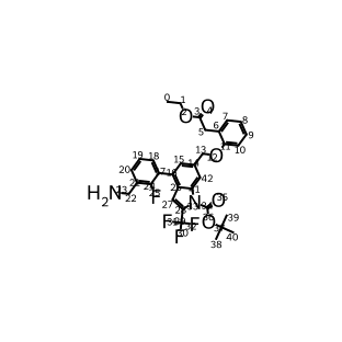 CCOC(=O)Cc1ccccc1OCc1cc(-c2cccc(CN)c2F)c2cc(C(F)(F)F)n(C(=O)OC(C)(C)C)c2c1